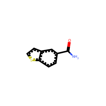 NC(=O)c1ccc2sccc2c1